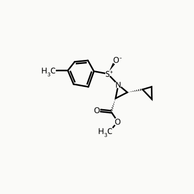 COC(=O)[C@H]1[C@@H](C2CC2)N1[S@+]([O-])c1ccc(C)cc1